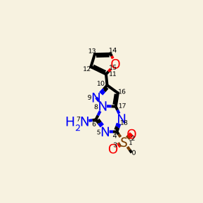 CS(=O)(=O)c1nc(N)n2nc(-c3ccco3)cc2n1